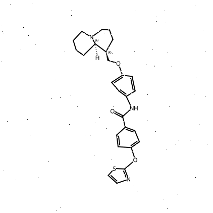 O=C(Nc1ccc(OC[C@@H]2CCCN3CCCC[C@H]23)cc1)c1ccc(Oc2nccs2)cc1